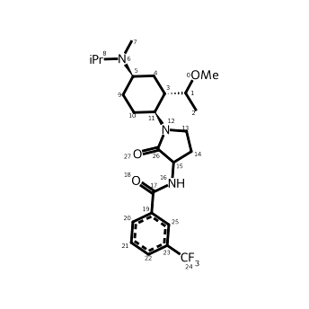 COC(C)[C@H]1C[C@H](N(C)C(C)C)CC[C@@H]1N1CCC(NC(=O)c2cccc(C(F)(F)F)c2)C1=O